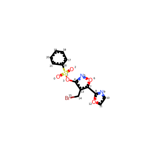 O=S(=O)(Oc1noc(-c2ncco2)c1CBr)c1ccccc1